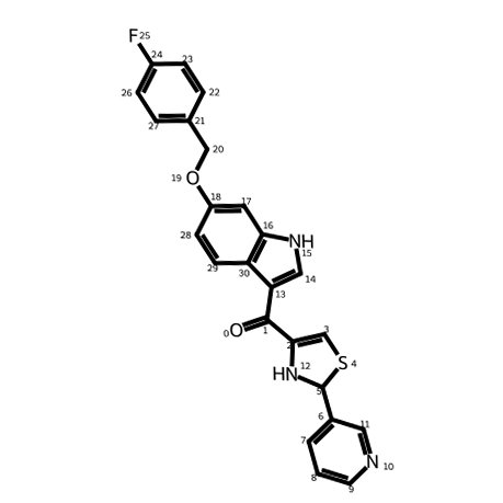 O=C(C1=CSC(c2cccnc2)N1)c1c[nH]c2cc(OCc3ccc(F)cc3)ccc12